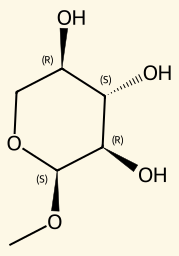 CO[C@H]1OC[C@@H](O)[C@H](O)[C@H]1O